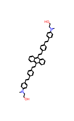 CN(CCO)c1ccc(C=Cc2ccc(C=Cc3c4ccccc4c(C=Cc4ccc(C=Cc5ccc(N(C)CCO)cc5)cc4)c4ccccc34)cc2)cc1